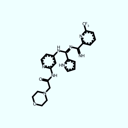 N=C(/N=C(/Nc1ccnc(NC(=O)CN2CCOCC2)c1)c1ccc[nH]1)c1cccc(C(F)(F)F)n1